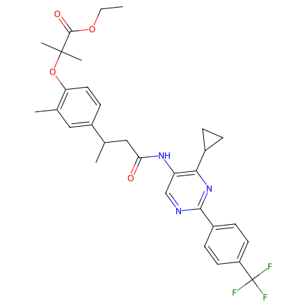 CCOC(=O)C(C)(C)Oc1ccc(C(C)CC(=O)Nc2cnc(-c3ccc(C(F)(F)F)cc3)nc2C2CC2)cc1C